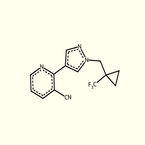 N#Cc1cccnc1-c1cnn(CC2(C(F)(F)F)CC2)c1